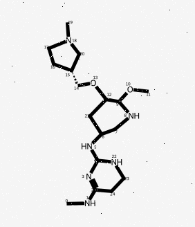 CNC1=NC(NC2CNC(OC)C(OC[C@@H]3CCN(C)C3)C2)NCC1